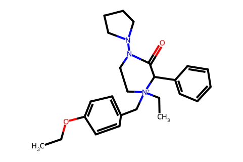 CCOc1ccc(C[N+]2(CC)CCN(N3CCCC3)C(=O)C2c2ccccc2)cc1